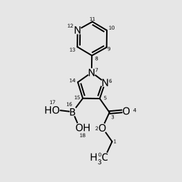 CCOC(=O)c1nn(-c2cccnc2)cc1B(O)O